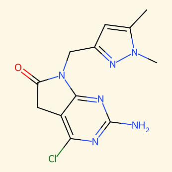 Cc1cc(CN2C(=O)Cc3c(Cl)nc(N)nc32)nn1C